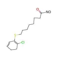 O=NC(=O)CCCCCCCSC1=C(Cl)CCC=C1